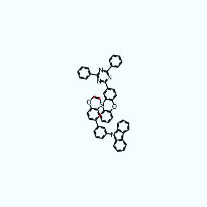 c1ccc(-c2nc(-c3ccccc3)nc(-c3ccc4c(c3)[Si]3(c5ccccc5Oc5ccc(-c6cccc(-n7c8ccccc8c8ccccc87)c6)cc53)c3ccccc3O4)n2)cc1